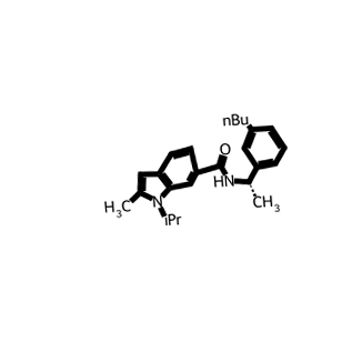 CCCCc1cccc([C@H](C)NC(=O)c2ccc3cc(C)n(C(C)C)c3c2)c1